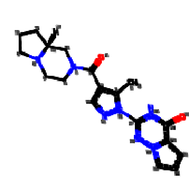 Cc1c(C(=O)N2CCN3CCC[C@@H]3C2)cnn1-c1nn2cccc2c(=O)[nH]1